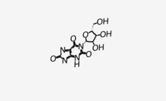 O=C1N=c2[nH]c(=O)n([C@@H]3O[C@H](CO)[C@@H](O)[C@H]3O)c(=O)c2=N1